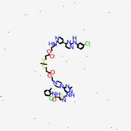 Cc1nc(Nc2ncc(C(=O)Nc3c(C)cccc3Cl)s2)cc(N2CCN(CCOC(=O)CCSC(C)(C)SCCC(=O)OCCCNc3cc(-c4ccnc(Nc5cccc(Cl)c5)n4)ccn3)CC2)n1